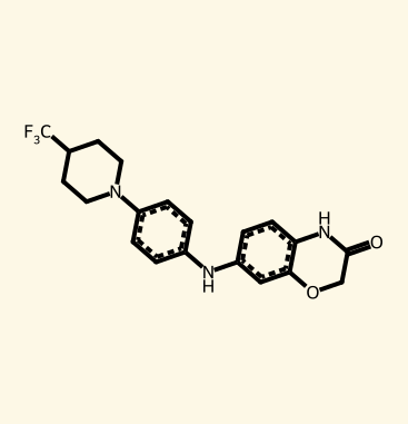 O=C1COc2cc(Nc3ccc(N4CCC(C(F)(F)F)CC4)cc3)ccc2N1